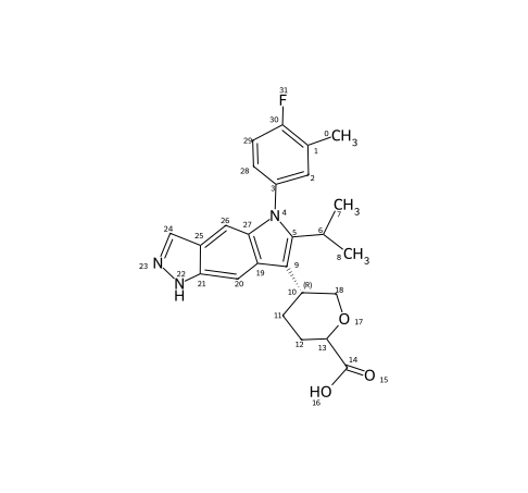 Cc1cc(-n2c(C(C)C)c([C@H]3CCC(C(=O)O)OC3)c3cc4[nH]ncc4cc32)ccc1F